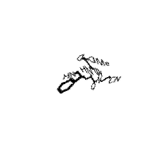 COC(=O)C(=O)NC(Cc1c[nH]c2ccccc12)C(=O)NCCC#N